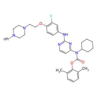 CCCN1CCN(CCOc2ccc(Nc3nccc(N(C(=O)Oc4c(C)cccc4C)C4CCCCC4)n3)cc2F)CC1